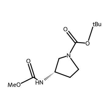 COC(=O)N[C@H]1CCN(C(=O)OC(C)(C)C)C1